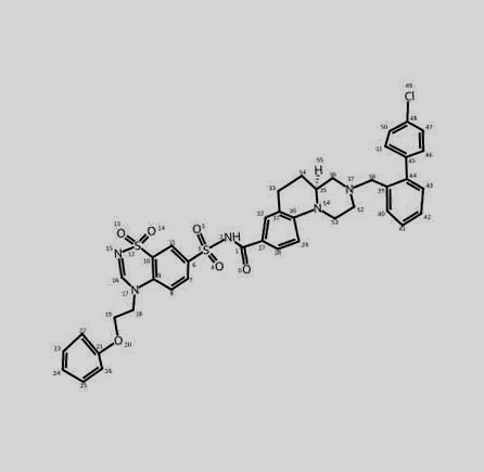 O=C(NS(=O)(=O)c1ccc2c(c1)S(=O)(=O)N=CN2CCOc1ccccc1)c1ccc2c(c1)CC[C@H]1CN(Cc3ccccc3-c3ccc(Cl)cc3)CCN21